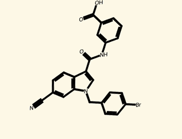 N#Cc1ccc2c(C(=O)Nc3cccc(C(=O)O)c3)cn(Cc3ccc(Br)cc3)c2c1